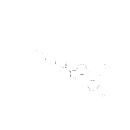 COc1ccc(-c2ncnc3c(C(=O)N[C@H]4CC[C@H](NC(C)=O)CC4)c(C)[nH]c23)c(OCC2CC2)c1